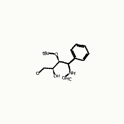 CC(C)(C)O[C@@H](C(NC=O)c1ccccc1)[C@@H](O)CCl